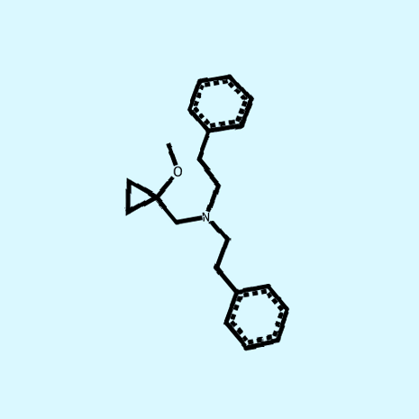 COC1(CN(CCc2ccccc2)CCc2ccccc2)CC1